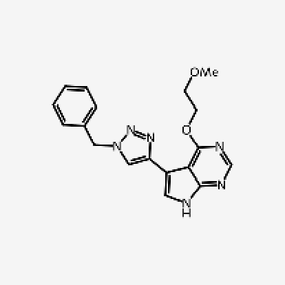 COCCOc1ncnc2[nH]cc(-c3cn(Cc4ccccc4)nn3)c12